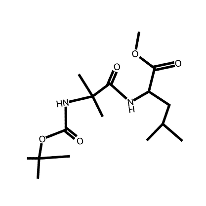 COC(=O)C(CC(C)C)NC(=O)C(C)(C)NC(=O)OC(C)(C)C